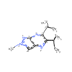 CC(C)c1nc2cn(C)nc2nc1C(C)C